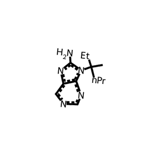 CCCC(C)(CC)n1c(N)nc2cncnc21